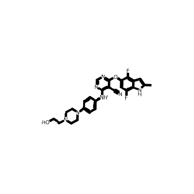 Cc1cc2c(F)c(Oc3ncnc(Nc4ccc(N5CCN(CCO)CC5)cc4)c3C#N)cc(F)c2[nH]1